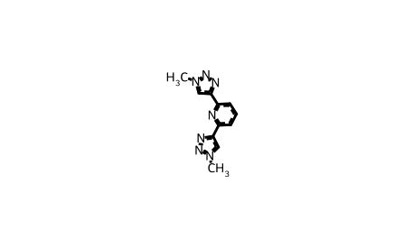 Cn1cc(-c2cccc(-c3cn(C)nn3)n2)nn1